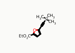 CCOC(=O)c1ccc(C#C[Si](C)(C)C)o1